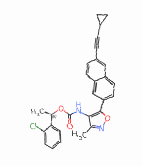 Cc1noc(-c2ccc3cc(C#CC4CC4)ccc3c2)c1NC(=O)O[C@H](C)c1ccccc1Cl